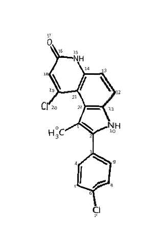 Cc1c(-c2ccc(Cl)cc2)[nH]c2ccc3[nH]c(=O)cc(Cl)c3c12